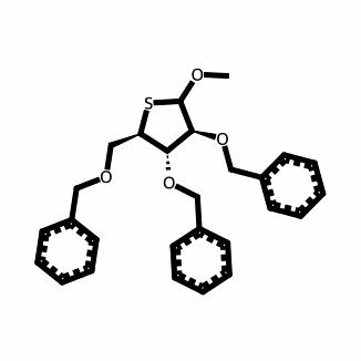 COC1S[C@H](COCc2ccccc2)[C@@H](OCc2ccccc2)[C@@H]1OCc1ccccc1